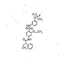 CCOc1cc(NC(=O)C(CC)c2ccccc2)ccc1S(=O)(=O)Nc1cccc(OC(C)(C)F)c1